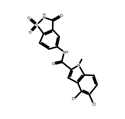 Cn1c(C(=O)Nc2ccc3c(c2)C(=O)NS3(=O)=O)cc2c(Cl)c(Cl)ccc21